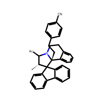 CC(=O)C1[C@@H](C)C2(c3ccccc3-c3ccccc32)[C@@]2(CCc3ccc(C#N)cc3)c3ccccc3CCN12